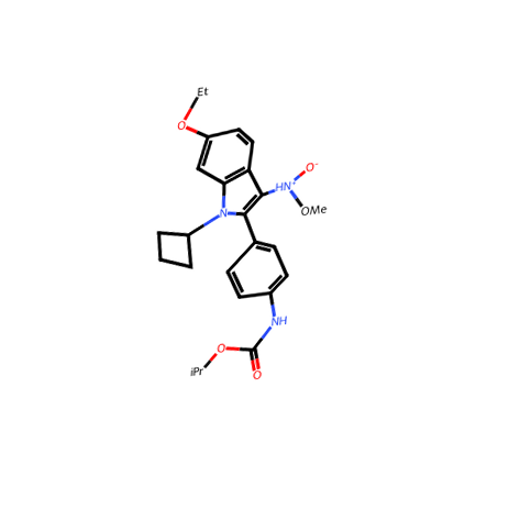 CCOc1ccc2c([NH+]([O-])OC)c(-c3ccc(NC(=O)OC(C)C)cc3)n(C3CCC3)c2c1